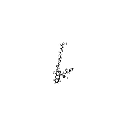 [N-]=[N+]=CC(=O)CC[C@H](N)C(=O)N[C@@H](Cc1ccccc1)C(=O)NCCOCCOCCOCCOCCC(=O)O